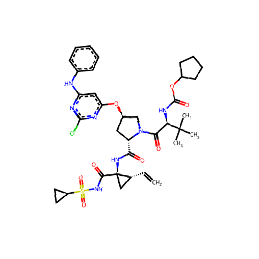 C=C[C@@H]1C[C@]1(NC(=O)[C@@H]1C[C@@H](Oc2cc(Nc3ccccc3)nc(Cl)n2)CN1C(=O)[C@@H](NC(=O)OC1CCCC1)C(C)(C)C)C(=O)NS(=O)(=O)C1CC1